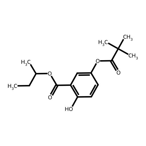 CCC(C)OC(=O)c1cc(OC(=O)C(C)(C)C)ccc1O